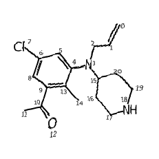 C=CCN(c1cc(Cl)cc(C(C)=O)c1C)C1CCNCC1